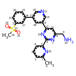 Cc1cccc(-c2nc(CN)cc(-c3cncc(-c4cccc(S(C)(=O)=O)c4)c3)n2)n1